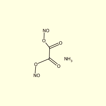 N.O=NOC(=O)C(=O)ON=O